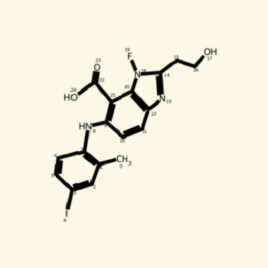 Cc1cc(I)ccc1Nc1ccc2nc(CCO)n(F)c2c1C(=O)O